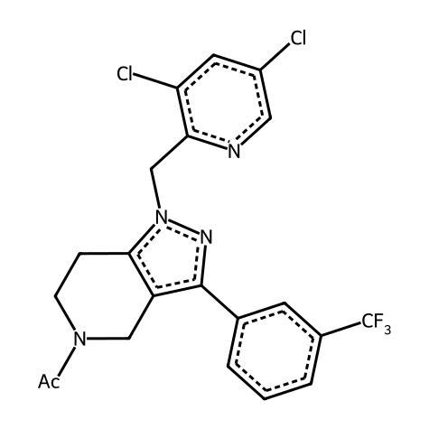 CC(=O)N1CCc2c(c(-c3cccc(C(F)(F)F)c3)nn2Cc2ncc(Cl)cc2Cl)C1